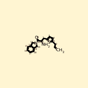 C=CCc1ccc(C[C@@H](N)C(=O)N2Cc3ccccc3C2)s1